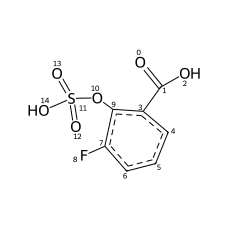 O=C(O)c1cccc(F)c1OS(=O)(=O)O